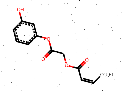 CCOC(=O)/C=C\C(=O)OCC(=O)Oc1cccc(O)c1